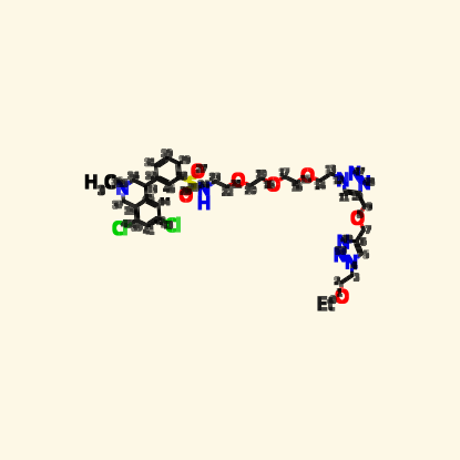 CCOCCn1cc(COCc2cn(CCOCCOCCOCCNS(=O)(=O)c3cccc(C4CN(C)Cc5c(Cl)cc(Cl)cc54)c3)nn2)nn1